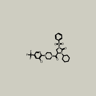 O=C(C1CN(S(=O)(=O)c2ccccc2)C(=O)N1C1CCCCC1)N1CCN(c2ncc(C(F)(F)F)cc2Cl)CC1